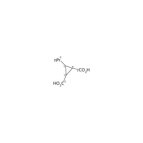 CCCC1C(C(=O)O)C1C(=O)O